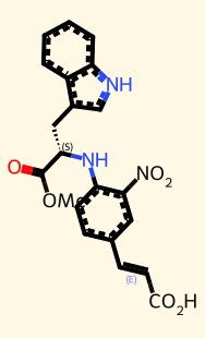 COC(=O)[C@H](Cc1c[nH]c2ccccc12)Nc1ccc(/C=C/C(=O)O)cc1[N+](=O)[O-]